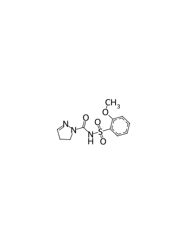 COc1ccccc1S(=O)(=O)NC(=O)N1CCC=N1